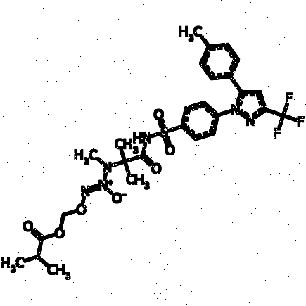 Cc1ccc(-c2cc(C(F)(F)F)nn2-c2ccc(S(=O)(=O)NC(=O)C(C)(C)N(C)[N+]([O-])=NOCOC(=O)C(C)C)cc2)cc1